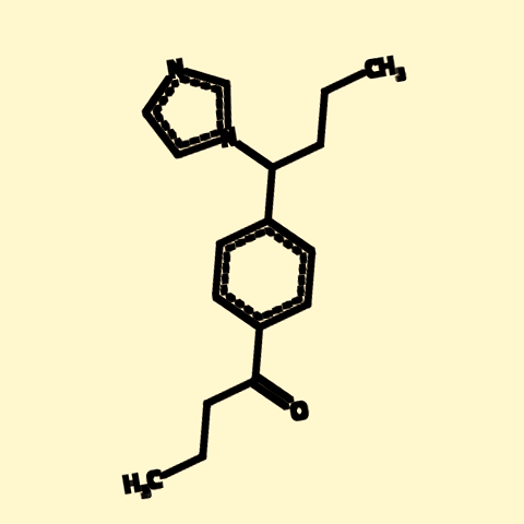 CCCC(=O)c1ccc(C(CCC)n2ccnc2)cc1